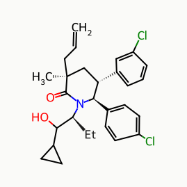 C=CC[C@@]1(C)C[C@H](c2cccc(Cl)c2)[C@@H](c2ccc(Cl)cc2)N([C@@H](CC)C(O)C2CC2)C1=O